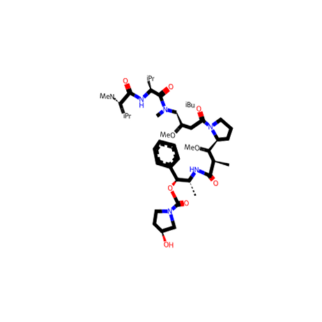 CC[C@H](C)[C@@H](C(CC(=O)N1CCC[C@H]1C(OC)[C@@H](C)C(=O)N[C@H](C)[C@@H](OC(=O)N1CC[C@H](O)C1)c1ccccc1)OC)N(C)C(=O)[C@@H](NC(=O)[C@@H](NC)C(C)C)C(C)C